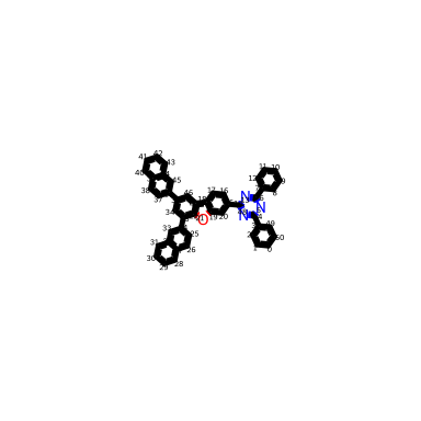 c1ccc(-c2nc(-c3ccccc3)nc(-c3ccc4c(c3)oc3c(-c5ccc6ccccc6c5)cc(-c5ccc6ccccc6c5)cc34)n2)cc1